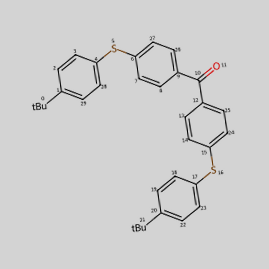 CC(C)(C)c1ccc(Sc2ccc(C(=O)c3ccc(Sc4ccc(C(C)(C)C)cc4)cc3)cc2)cc1